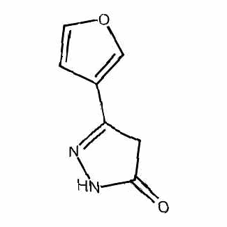 O=C1CC(c2ccoc2)=NN1